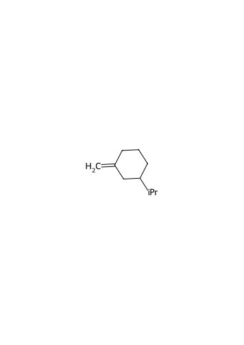 C=C1CCCC(C(C)C)C1